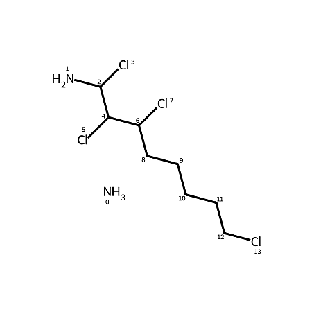 N.NC(Cl)C(Cl)C(Cl)CCCCCCl